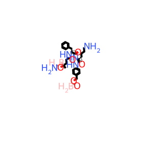 BC(=O)OCc1ccc(NC(=O)[C@H](CCCCN)NC(=O)[C@H](Cc2ccccc2)NC(=O)CCC(B)(C)OCN)cc1